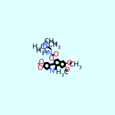 COc1cc2cc(OC(=O)NCC(C)(C)N(C)C)c3c4cc5c(cc4ncc3c2cc1OC)OCO5